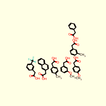 COc1ccc(CC(=O)O)cc1.COc1cccc(CC(=O)O)c1.Cc1ccc(CC(=O)O)cc1.Cc1cccc(CC(=O)O)c1.O=C(O)Cc1ccc2ccccc2c1.O=C(O)Cc1cccc(C(F)(F)F)c1.O=C(O)Cc1ccccc1